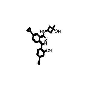 C#Cc1ccc(-c2nnc(NC3CC(C)(O)C3)c3cc(C4CC4)ccc23)c(O)c1